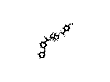 O=C(N[C@H]1CO[C@H]2[C@@H]1OC[C@@H]2NC(=O)c1cccc(Oc2ccccc2)c1)c1ccc(O)cc1